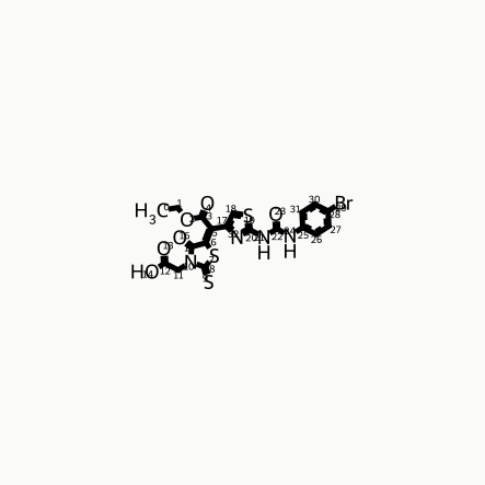 CCOC(=O)C(=C1SC(=S)N(CC(=O)O)C1=O)c1csc(NC(=O)Nc2ccc(Br)cc2)n1